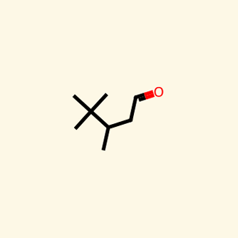 CC(CC=O)C(C)(C)C